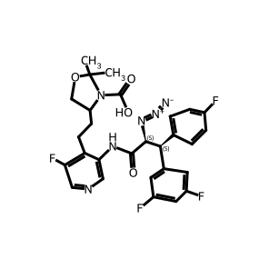 CC1(C)OCC(CCc2c(F)cncc2NC(=O)[C@@H](N=[N+]=[N-])[C@@H](c2ccc(F)cc2)c2cc(F)cc(F)c2)N1C(=O)O